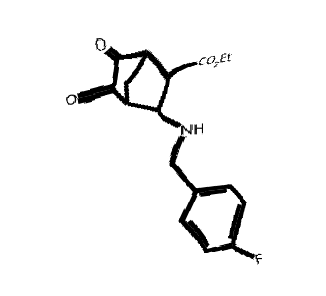 CCOC(=O)C1C2CC(C(=O)C2=O)C1NCc1ccc(F)cc1